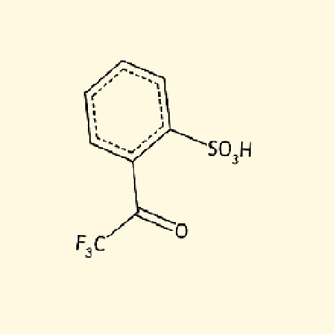 O=C(c1ccccc1S(=O)(=O)O)C(F)(F)F